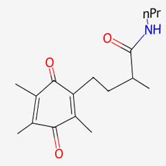 CCCNC(=O)C(C)CCC1=C(C)C(=O)C(C)=C(C)C1=O